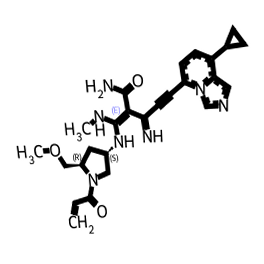 C=CC(=O)N1C[C@@H](N/C(NC)=C(\C(=N)C#Cc2ccc(C3CC3)c3cncn23)C(N)=O)C[C@@H]1COC